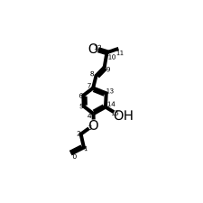 C=CCOc1ccc(C=CC(C)=O)cc1O